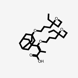 CCC1(CCCOC(=C(C)C(=O)O)C23CC4CC(CC(OCCCC5(CC)CCO5)(C4)C2)C3)CCO1